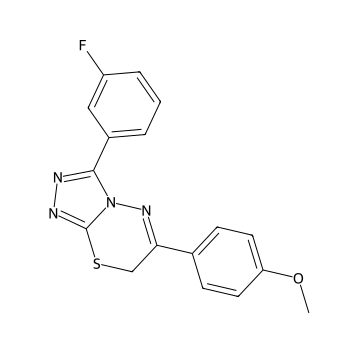 COc1ccc(C2=Nn3c(nnc3-c3cccc(F)c3)SC2)cc1